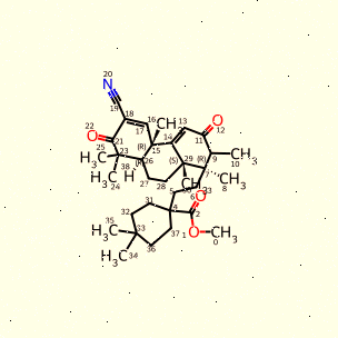 COC(=O)C1(CC[C@]2(C)C(C)C(=O)C=C3[C@@]4(C)C=C(C#N)C(=O)C(C)(C)[C@@H]4CC[C@]32C)CCC(C)(C)CC1